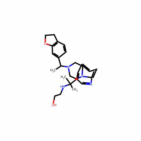 CC(c1ccc2c(c1)OCC2)N1CCN(C2=C\C=C\C=C(C(C)(C)NCCO)/C=N\2)CC1